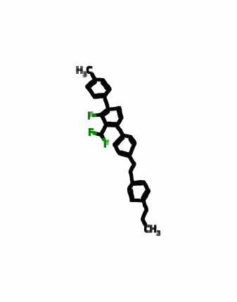 CCCc1ccc(CCc2ccc(-c3ccc(-c4ccc(C)cc4)c(F)c3C(F)F)cc2)cc1